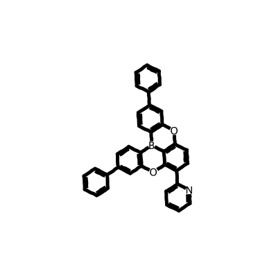 c1ccc(-c2ccc3c(c2)Oc2ccc(-c4ccccn4)c4c2B3c2ccc(-c3ccccc3)cc2O4)cc1